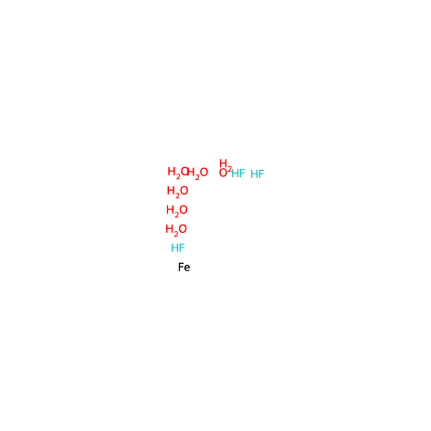 F.F.F.O.O.O.O.O.O.[Fe]